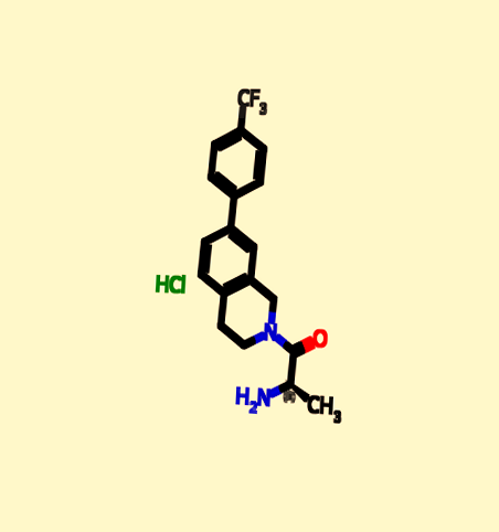 C[C@@H](N)C(=O)N1CCc2ccc(-c3ccc(C(F)(F)F)cc3)cc2C1.Cl